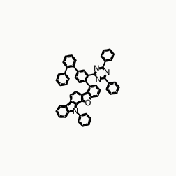 c1ccc(-c2nc(-c3ccccc3)nc(-c3cc(-c4ccccc4-c4ccccc4)ccc3-c3cccc4oc5c(ccc6c7ccccc7n(-c7ccccc7)c65)c34)n2)cc1